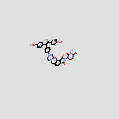 CCC(=C(c1ccc(O)cc1)c1ccc(N2CCN(Cc3ccc4c(c3Br)C(=O)N(C3CCC(=O)NC3=O)C4=O)CC2)cc1)c1ccc(O)cc1